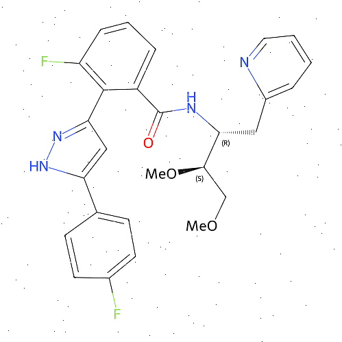 COC[C@@H](OC)[C@@H](Cc1ccccn1)NC(=O)c1cccc(F)c1-c1cc(-c2ccc(F)cc2)[nH]n1